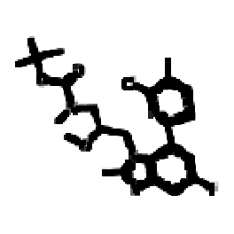 CO[C@@H](CN(C)C(=O)OC(C)(C)C)Cn1c(C)nc2cc(F)cc(-c3ccc(C)c(Cl)n3)c21